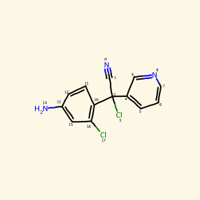 N#CC(Cl)(c1cccnc1)c1ccc(N)cc1Cl